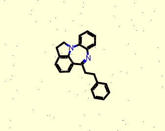 c1ccc(CCC2=Nc3ccccc3N3CCc4cccc2c43)cc1